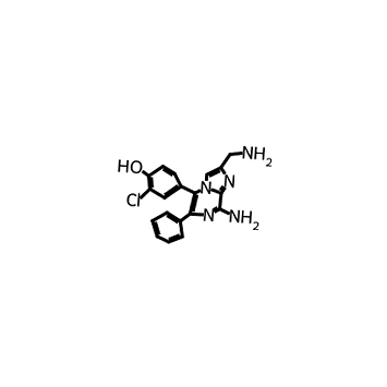 NCc1cn2c(-c3ccc(O)c(Cl)c3)c(-c3ccccc3)nc(N)c2n1